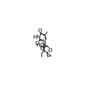 CC[C@]12O[C@@H](n3cc(C)c(=O)[nH]c3=O)C(OC13CC3)[C@H]2O